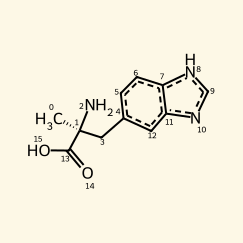 C[C@](N)(Cc1ccc2[nH]cnc2c1)C(=O)O